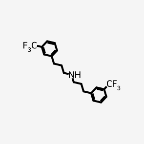 FC(F)(F)c1cccc(CCCNCCCc2cccc(C(F)(F)F)c2)c1